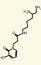 NCC(N)CCCCNC(=O)CCn1cccc(O)c1=O